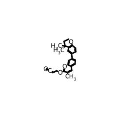 CC(=Cc1ccc(-c2ccc3c(c2)C(C)(C)CCO3)cc1)C(=O)OCC=C=O